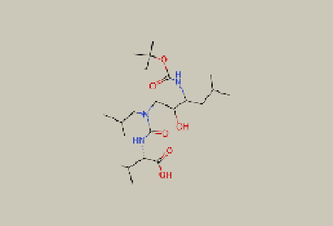 CC(C)CC(NC(=O)OC(C)(C)C)C(O)CN(CC(C)C)C(=O)N[C@H](C(=O)O)C(C)C